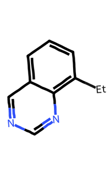 CCc1cccc2cncnc12